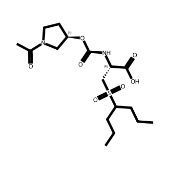 CCCC(CCC)S(=O)(=O)C[C@H](NC(=O)O[C@@H]1CCN(C(C)=O)C1)C(=O)O